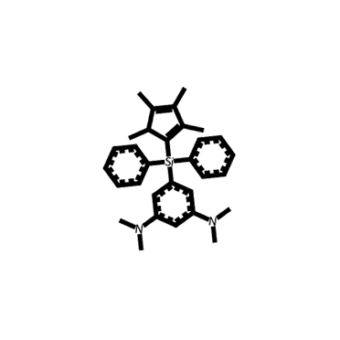 CC1=C(C)C(C)C([Si](c2ccccc2)(c2ccccc2)c2cc(N(C)C)cc(N(C)C)c2)=C1C